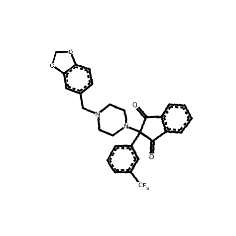 O=C1c2ccccc2C(=O)C1(c1cccc(C(F)(F)F)c1)N1CCN(Cc2ccc3c(c2)OCO3)CC1